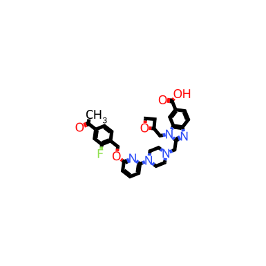 CC(=O)c1ccc(COc2cccc(N3CCN(Cc4nc5ccc(C(=O)O)cc5n4CC4CCO4)CC3)n2)c(F)c1